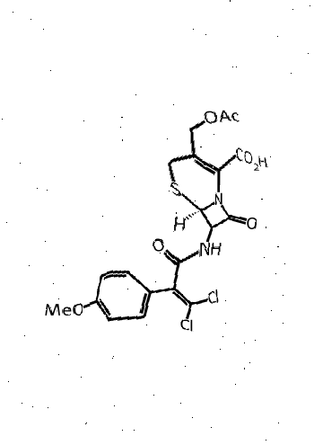 COc1ccc(C(C(=O)NC2C(=O)N3C(C(=O)O)=C(COC(C)=O)CS[C@H]23)=C(Cl)Cl)cc1